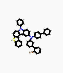 Brc1ccccc1-c1cccc(N(c2ccc(-c3ccccc3)cc2)c2ccc3c(c2)c2c4c(ccc2n3-c2ccccc2)sc2ccccc24)c1